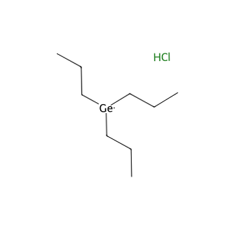 CC[CH2][Ge]([CH2]CC)[CH2]CC.Cl